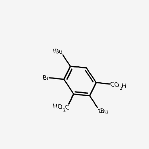 CC(C)(C)c1cc(C(=O)O)c(C(C)(C)C)c(C(=O)O)c1Br